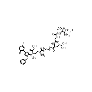 CC(C)(C)[C@H](c1cc(-c2cc(F)ccc2F)cn1Cc1ccccc1)N(CC[C@H](N)C(=O)NCCNC(=O)[C@@H](CCC(O)O)NC(=O)CNC(=O)[C@H](CC(=O)O)SC[C@H](N)C(=O)O)C(=O)CO